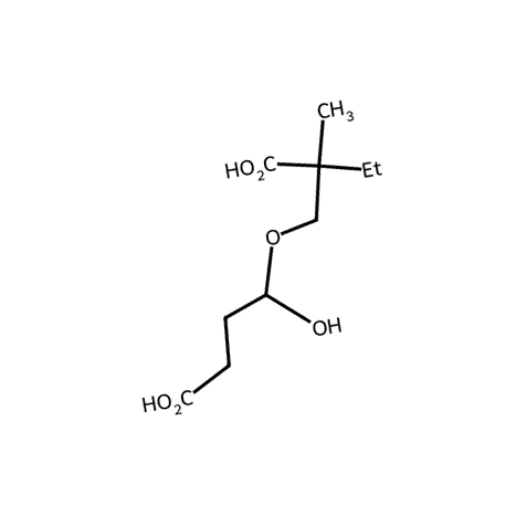 CCC(C)(COC(O)CCC(=O)O)C(=O)O